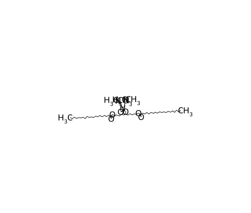 CCCCCCCCCCCCCCCCCCCC(=O)OCCCCCC(CCCCCOC(=O)CCCCCCCCCCCCCCCCCCC)OC(=O)N(CCCN(C)C)CCCN(C)C